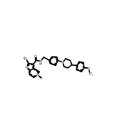 CCc1nc2ccn(C)cc-2c1C(=O)NCc1ccc(N2CCC(c3ccc(OC(F)(F)F)cc3)CC2)cc1